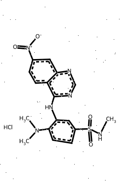 CNS(=O)(=O)c1ccc(N(C)C)c(Nc2ncnc3cc([N+](=O)[O-])ccc23)c1.Cl